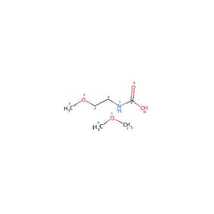 COC.COCCNC(=O)O